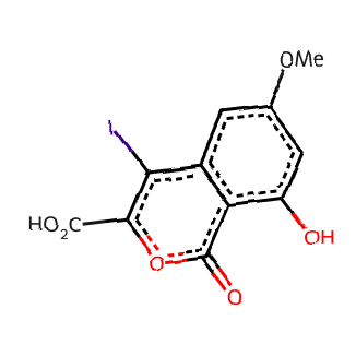 COc1cc(O)c2c(=O)oc(C(=O)O)c(I)c2c1